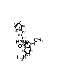 CCNc1ccc(N)cc1S(=O)(=O)NCCCN1CCOCC1